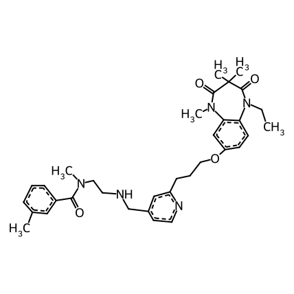 CCN1C(=O)C(C)(C)C(=O)N(C)c2cc(OCCCc3cc(CNCCN(C)C(=O)c4cccc(C)c4)ccn3)ccc21